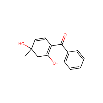 CC1(O)C=CC(C(=O)c2ccccc2)=C(O)C1